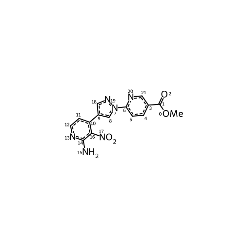 COC(=O)c1ccc(-n2cc(-c3ccnc(N)c3[N+](=O)[O-])cn2)nc1